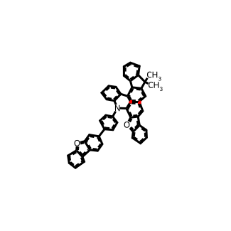 CC1(C)c2ccccc2-c2c(-c3ccccc3N(c3ccc(-c4ccc5c(c4)oc4ccccc45)cc3)c3cccc4c3oc3ccccc34)cccc21